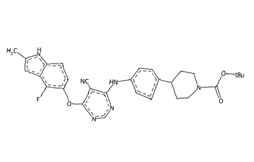 Cc1cc2c(F)c(Oc3ncnc(Nc4ccc(C5CCN(C(=O)OC(C)(C)C)CC5)cc4)c3C#N)ccc2[nH]1